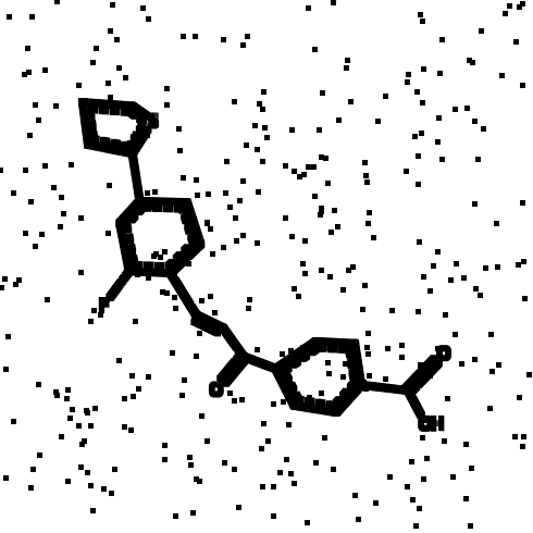 O=C(O)c1ccc(C(=O)C=Cc2ccc(-c3cccs3)cc2F)cc1